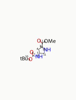 COC(=O)[C@@H]1CC(NC(=O)OC(C)(C)C)CN1